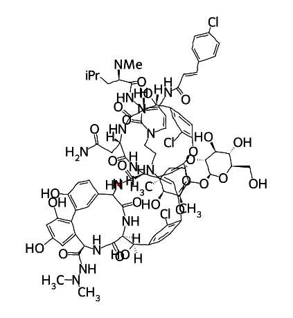 CN[C@H](CC(C)C)C(=O)N[C@H]1C(=O)N[C@@H](CC(N)=O)C(=O)N[C@H]2C(=O)N[C@H]3C(=O)N[C@H](C(=O)N[C@@H](C(=O)NN(C)C)c4cc(O)cc(O)c4-c4cc3ccc4O)[C@H](O)c3ccc(c(Cl)c3)Oc3cc2cc(c3O[C@@H]2O[C@H](CO)[C@@H](O)[C@H](O)[C@H]2O[C@H]2C[C@](C)(NCCn3ccc(NC(=O)/C=C/c4ccc(Cl)cc4)nc3=O)[C@H](O)[C@H](C)O2)Oc2ccc(cc2Cl)[C@H]1O